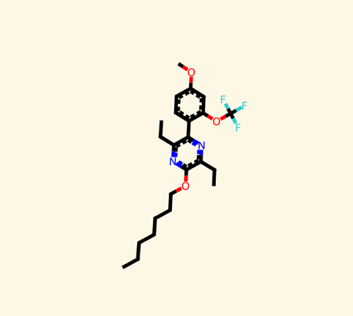 CCCCCCCOc1nc(CC)c(-c2ccc(OC)cc2OC(F)(F)F)nc1CC